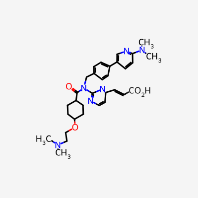 CN(C)CCOC1CCC(C(=O)N(Cc2ccc(-c3ccc(N(C)C)nc3)cc2)c2nccc(C=CC(=O)O)n2)CC1